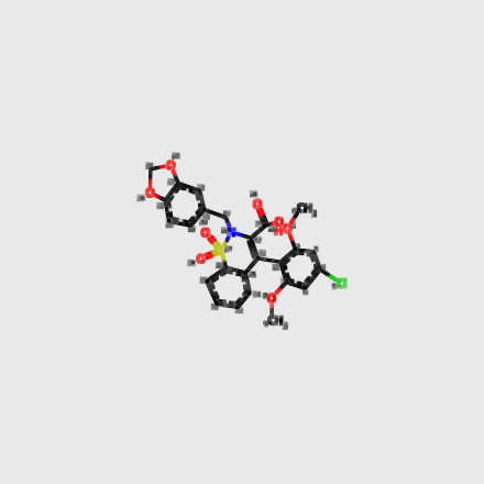 COc1cc(Cl)cc(OC)c1C1=C(C(=O)O)N(Cc2ccc3c(c2)OCO3)S(=O)(=O)c2ccccc21